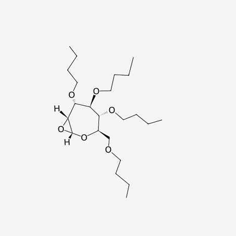 CCCCOC[C@H]1O[C@@H]2O[C@@H]2[C@H](OCCCC)[C@@H](OCCCC)[C@@H]1OCCCC